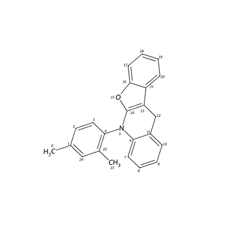 Cc1ccc(N2c3ccccc3Cc3c2oc2ccccc32)c(C)c1